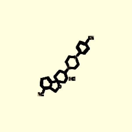 Cl.N#Cc1ccc(N2CCN(C3CCC4(CC3)OCc3c(C#N)cccc34)CC2)cc1